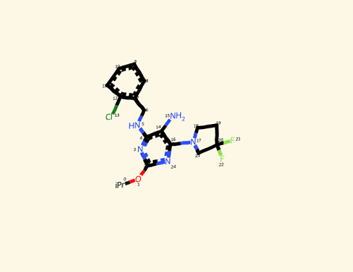 CC(C)Oc1nc(NCc2ccccc2Cl)c(N)c(N2CCC(F)(F)C2)n1